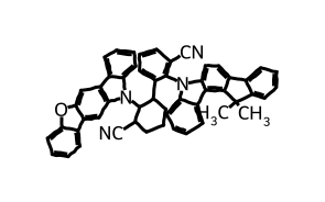 CC1(C)c2ccccc2-c2ccc3c(c21)c1ccccc1n3-c1c(C#N)cccc1C1CCCC(C#N)C1n1c2ccccc2c2cc3oc4ccccc4c3cc21